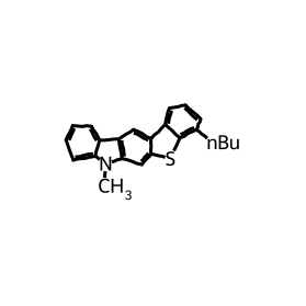 CCCCc1cccc2c1sc1cc3c(cc12)c1ccccc1n3C